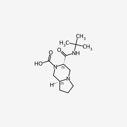 CC(C)(C)NC(=O)[C@@H]1CN2CCC[C@H]2CN1C(=O)O